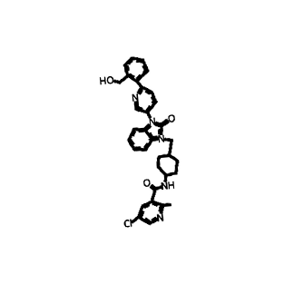 Cc1ncc(Cl)cc1C(=O)NC1CCC(Cn2c(=O)n(-c3ccc(-c4ccccc4CO)nc3)c3ccccc32)CC1